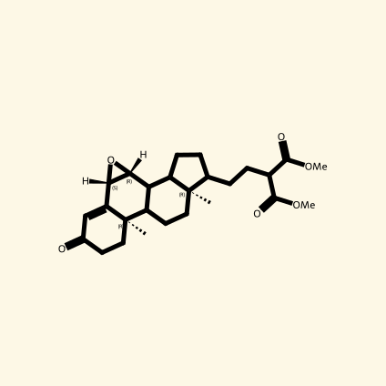 COC(=O)C(CCC1CCC2C3C(CC[C@]12C)[C@@]1(C)CCC(=O)C=C1[C@@H]1O[C@H]31)C(=O)OC